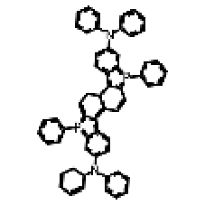 C1=CCC(N(c2ccccc2)c2ccc3c4c(p(-c5ccccc5)c3c2)=CCC2C=4C=Cc3c2c2ccc(N(c4ccccc4)c4ccccc4)cc2p3-c2ccccc2)C=C1